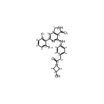 O=C1NCc2nc(-c3c(F)cccc3F)nc(Nc3ccc(CC(=O)N4CC(O)C4)cc3)c21